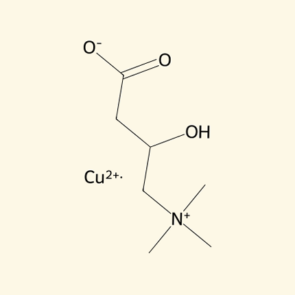 C[N+](C)(C)CC(O)CC(=O)[O-].[Cu+2]